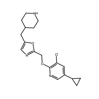 Clc1cc(C2CC2)cnc1OCc1ncc(CC2CCNCC2)o1